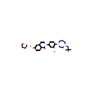 COc1cc(-n2ccc3cc(OC[C@@H]4CCCO4)ccc3c2=O)ccc1N1CCCN(CC(C)(C)O)CC1